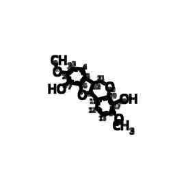 COc1ccc2c(c1O)OC1c3ccc(OC)c(O)c3OCC21